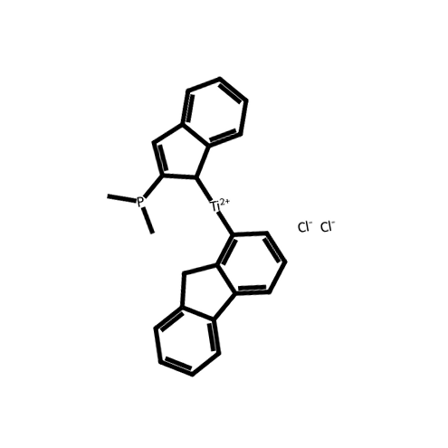 CP(C)C1=Cc2ccccc2[CH]1[Ti+2][c]1cccc2c1Cc1ccccc1-2.[Cl-].[Cl-]